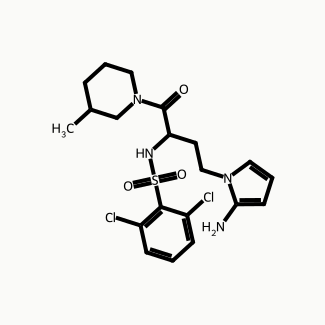 CC1CCCN(C(=O)C(CCn2cccc2N)NS(=O)(=O)c2c(Cl)cccc2Cl)C1